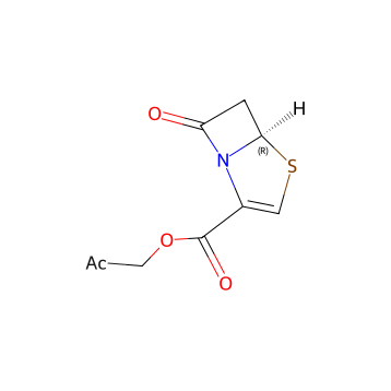 CC(=O)COC(=O)C1=CS[C@@H]2CC(=O)N12